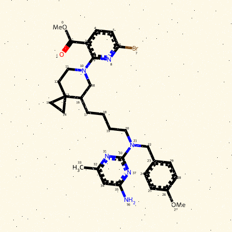 COC(=O)c1ccc(Br)nc1N1CCC2(CC2)C(CCCCN(Cc2ccc(OC)cc2)c2nc(C)cc(N)n2)C1